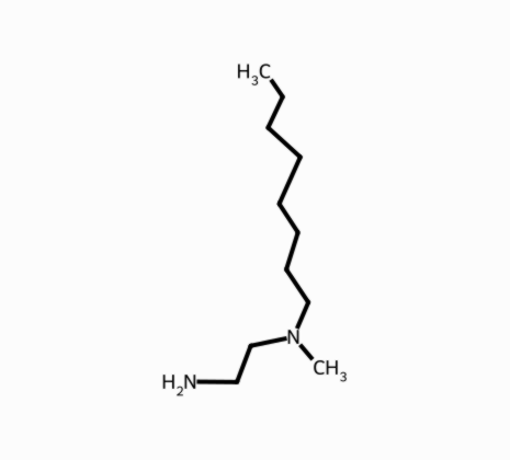 CCCCCCCCN(C)CCN